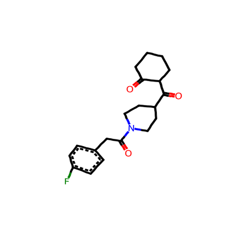 O=C1CCCCC1C(=O)C1CCN(C(=O)Cc2ccc(F)cc2)CC1